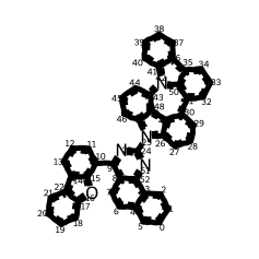 c1ccc2c(c1)ccc1c(-c3cccc4c3oc3ccccc34)nc(-n3c4cccc5c6cccc7c8ccccc8n(c8cccc3c8c54)c67)nc12